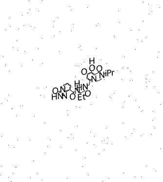 CCC(NC(=O)c1cccn2c(=O)[nH]nc12)C(=O)NCc1cc(=O)c(O)c2n1CCN(C(C)C)C2=O